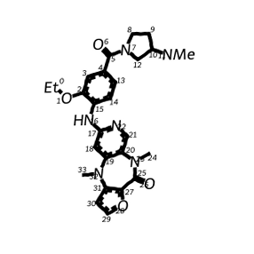 CCOc1cc(C(=O)N2CCC(NC)C2)ccc1Nc1cc2c(cn1)N(C)C(=O)c1occc1N2C